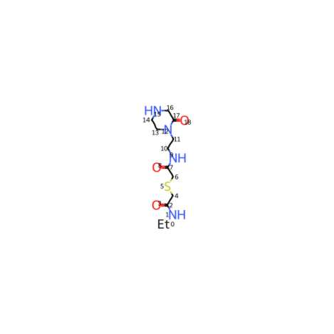 CCNC(=O)CSCC(=O)NCCN1CCNCC1=O